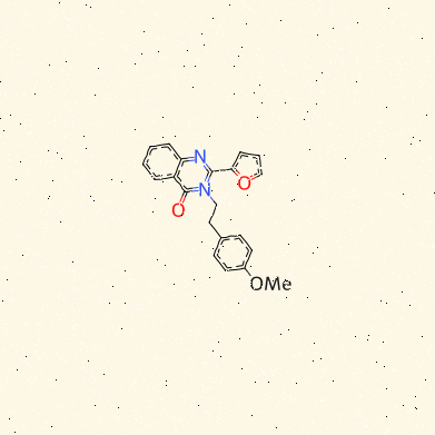 COc1ccc(CCn2c(-c3ccco3)nc3ccccc3c2=O)cc1